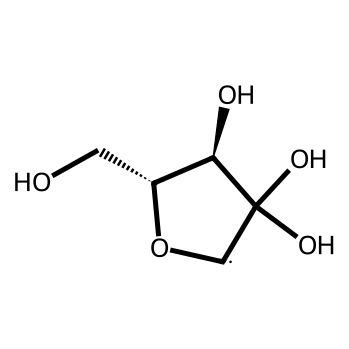 OC[C@H]1O[CH]C(O)(O)[C@@H]1O